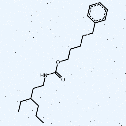 [CH2]CCC(CC)CCNC(=O)OCCCCCc1ccccc1